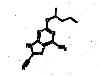 CCCC(C)Oc1nc(N)c2cc(C#N)[nH]c2n1